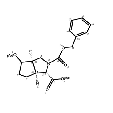 COC(=O)[C@@H]1[C@H]2CCC(OC)[C@H]2CN1C(=O)OCc1ccccc1